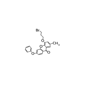 Cc1cc(OCCCBr)c2oc3cc(Oc4ccccc4)ccc3c(=O)c2c1